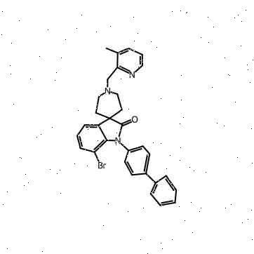 Cc1cccnc1CN1CCC2(CC1)C(=O)N(c1ccc(-c3ccccc3)cc1)c1c(Br)cccc12